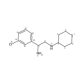 NC(CNC1CCSCC1)c1cccc(Cl)c1